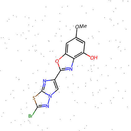 COc1cc(O)c2nc(-c3cn4nc(Br)sc4n3)oc2c1